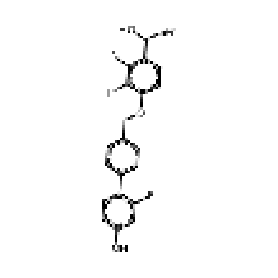 CCCC(O)c1ccc(OCc2ccc(-c3ccc(O)cc3F)cc2)c(F)c1F